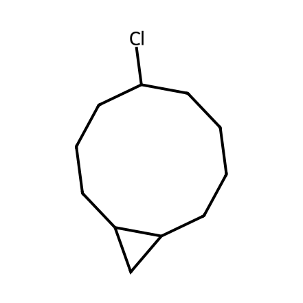 ClC1CCCCC2CC2CCC1